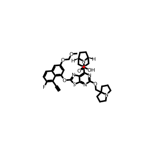 C#Cc1c(F)ccc2cc(OCOC)cc(Oc3nc4c(N5C[C@H]6CC[C@@H](C5)N6C(=O)O)nc(OCC56CCCN5CCC6)nc4s3)c12